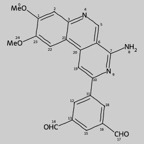 COc1cc2ncc3c(N)nc(-c4cc(C=O)cc(C=O)c4)cc3c2cc1OC